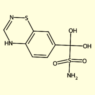 NS(=O)(=O)C(O)(O)c1ccc2c(c1)SN=CN2